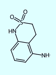 [NH]c1cccc2c1CCS(=O)(=O)N2